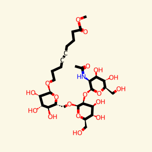 COC(=O)CCCCCCCCO[C@H]1O[C@H](CO[C@@H]2O[C@H](CO)[C@@H](O)[C@H](O)[C@@H]2O[C@@H]2O[C@H](CO)[C@@H](O)[C@H](O)[C@@H]2NC(C)=O)[C@@H](O)[C@H](O)[C@@H]1O